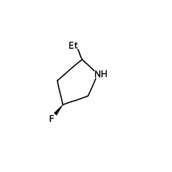 CCC1C[C@H](F)CN1